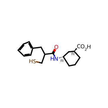 O=C(N[C@H]1CCC[C@H](C(=O)O)C1)C(CS)Cc1ccccc1